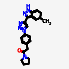 CC1C=c2c(-c3cn(-c4ccc(CC(=O)N5CCCC5)cc4)nn3)n[nH]c2=CC1